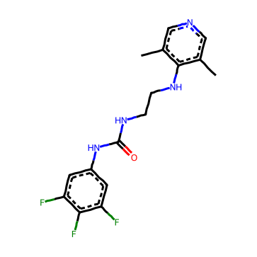 Cc1cncc(C)c1NCCNC(=O)Nc1cc(F)c(F)c(F)c1